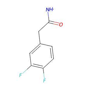 [NH]C(=O)Cc1ccc(F)c(F)c1